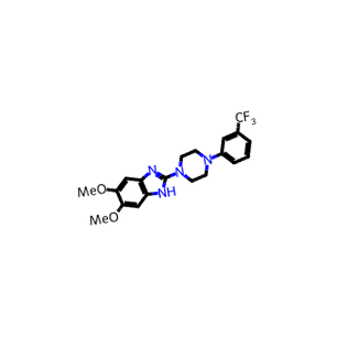 COc1cc2nc(N3CCN(c4cccc(C(F)(F)F)c4)CC3)[nH]c2cc1OC